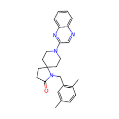 Cc1ccc(C)c(CN2C(=O)CCC23CCN(c2cnc4ccccc4n2)CC3)c1